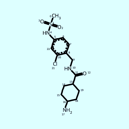 CS(=O)(=O)Nc1ccc(CNC(=O)C2CCC(N)CC2)c(Cl)c1